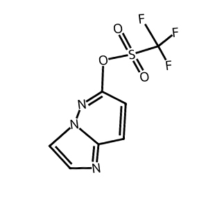 O=S(=O)(Oc1ccc2nccn2n1)C(F)(F)F